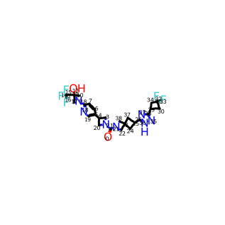 O=C(N1CC(c2ccc(N3CC(O)(C(F)(F)F)C3)nc2)C1)N1CC2(CC(c3nc(C4CC(F)(F)C4)n[nH]3)C2)C1